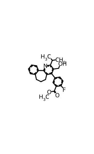 COC(=O)c1cc(-c2c3c(nc(C(C)C)c2CO)-c2ccccc2CCC3)ccc1F